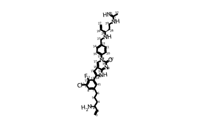 C=C[C@@H](N)CCCc1cc(Cl)c(F)c(-c2cc3cn(-c4ccc(CN[C@@H](C=C)CCNC(C)=N)cc4)c(=O)nc3[nH]2)c1